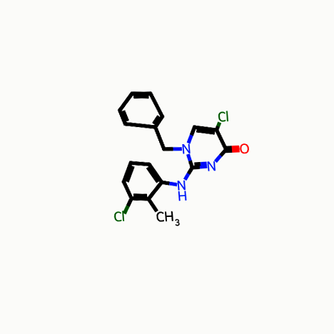 Cc1c(Cl)cccc1Nc1nc(=O)c(Cl)cn1Cc1ccccc1